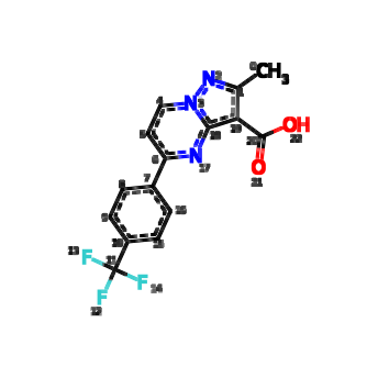 Cc1nn2ccc(-c3ccc(C(F)(F)F)cc3)nc2c1C(=O)O